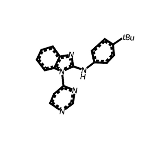 CC(C)(C)c1ccc(Nc2nc3ccccc3n2-c2ccncn2)cc1